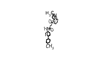 Cc1ccc(-c2ccc(NC(=O)CCC(=O)N3CCCn4nc(C)cc43)cn2)cc1